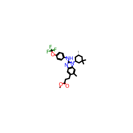 COC(=O)CCc1cc2nc(Nc3ccc(OC(F)(F)F)cc3)n([C@H]3C[C@H](C)CC(C)(C)C3)c2cc1C